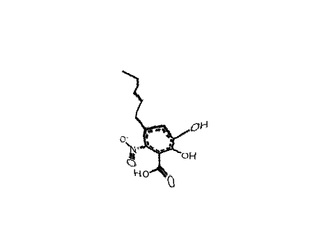 CCCCCc1cc(O)c(O)c(C(=O)O)c1[N+](=O)[O-]